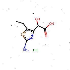 CCc1sc(N)nc1C(O)C(=O)O.Cl